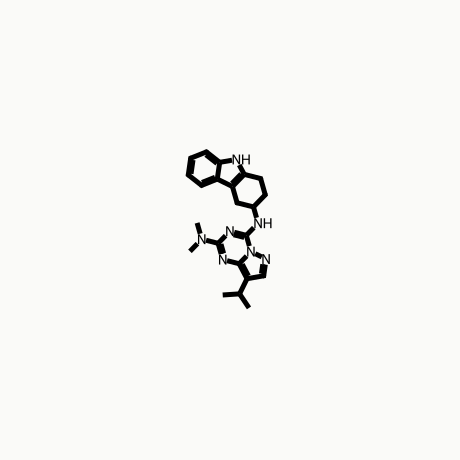 CC(C)c1cnn2c(NC3CCc4[nH]c5ccccc5c4C3)nc(N(C)C)nc12